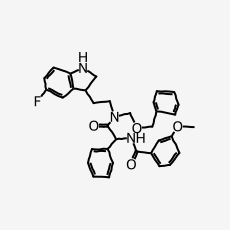 COc1cccc(C(=O)NC(C(=O)N(CCC2CNc3ccc(F)cc32)COCc2ccccc2)c2ccccc2)c1